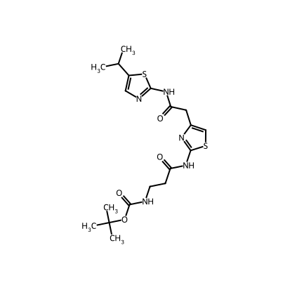 CC(C)c1cnc(NC(=O)Cc2csc(NC(=O)CCNC(=O)OC(C)(C)C)n2)s1